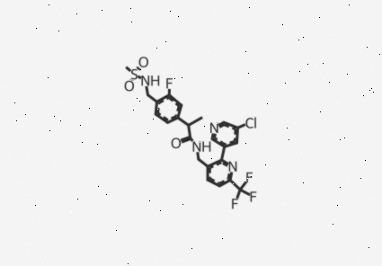 CC(C(=O)NCc1ccc(C(F)(F)F)nc1-c1cncc(Cl)c1)c1ccc(CNS(C)(=O)=O)c(F)c1